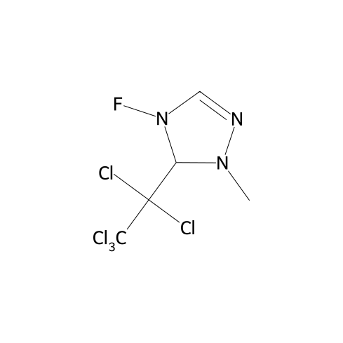 CN1N=CN(F)C1C(Cl)(Cl)C(Cl)(Cl)Cl